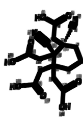 N#C[C@]1(CC(=O)O)CCCC(CC(=O)O)(CC(=O)O)[C@]1(C#N)CC(=O)O